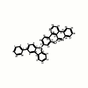 c1ccc(-c2ccc3c(c2)c2ccccc2n3-c2ccc3c(c2)Oc2nc4ccccc4c4ccnc-3c24)cc1